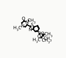 CN1CC(=O)N(C)C(c2nc3cc(B4OC(C)(C)C(C)(C)O4)ccc3s2)C1